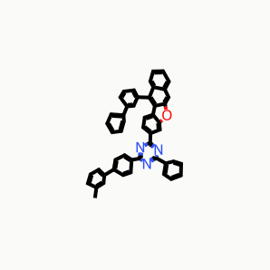 Cc1cccc(-c2ccc(-c3nc(-c4ccccc4)nc(-c4ccc5c(c4)oc4cc6ccccc6c(-c6cccc(-c7ccccc7)c6)c45)n3)cc2)c1